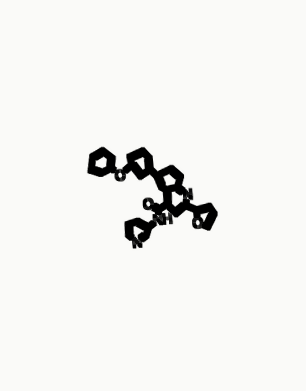 O=C(Nc1cccnc1)c1cc(-c2ccco2)nc2ccc(-c3cccc(Oc4ccccc4)c3)cc12